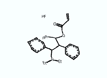 C=CC(=O)OC(CCC)C(c1ccccc1)C(c1ccccc1)N(CC)CC.F